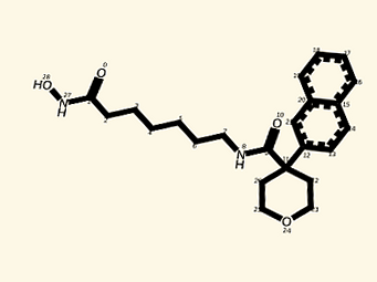 O=C(CCCCCCNC(=O)C1(c2ccc3ccccc3c2)CCOCC1)NO